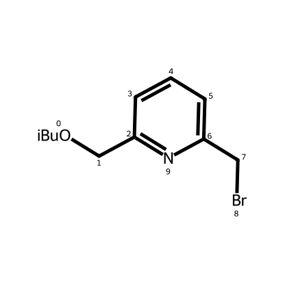 CC(C)COCc1cccc(CBr)n1